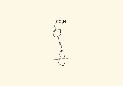 CC1=C(C=CC#Cc2ccc(CC(=O)O)cc2)C(C)(C)CCC1